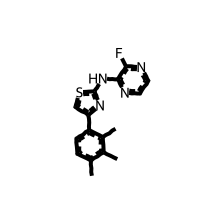 Cc1ccc(-c2csc(Nc3nccnc3F)n2)c(C)c1C